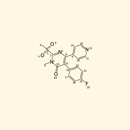 Cn1c(S(C)(=O)=O)nc(-c2ccncc2)c(-c2ccc(F)cc2)c1=O